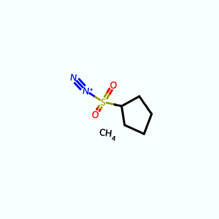 C.N#[N+]S(=O)(=O)C1CCCC1